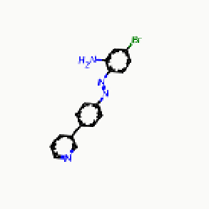 Nc1cc(Br)ccc1/N=N/c1ccc(-c2cccnc2)cc1